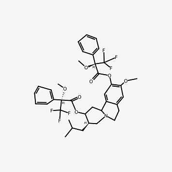 COc1cc2c(cc1OC(=O)[C@](OC)(c1ccccc1)C(F)(F)F)C1CC(OC(=O)[C@](OC)(c3ccccc3)C(F)(F)F)[C@H](CC(C)C)CN1CC2